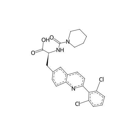 O=C(O)[C@H](Cc1ccc2nc(-c3c(Cl)cccc3Cl)ccc2c1)NC(=O)N1CCCCC1